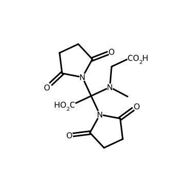 CN(CC(=O)O)C(C(=O)O)(N1C(=O)CCC1=O)N1C(=O)CCC1=O